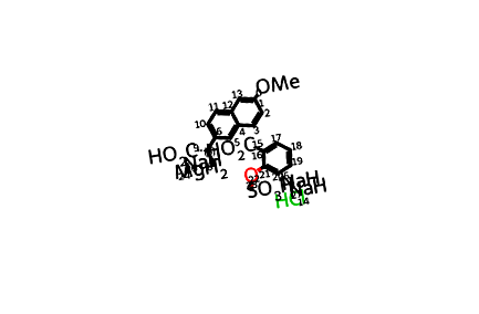 COc1ccc2cc([C@H](C)C(=O)O)ccc2c1.Cl.O=C(O)c1ccccc1OS(=O)(=O)O.[MgH2].[NaH].[NaH].[NaH]